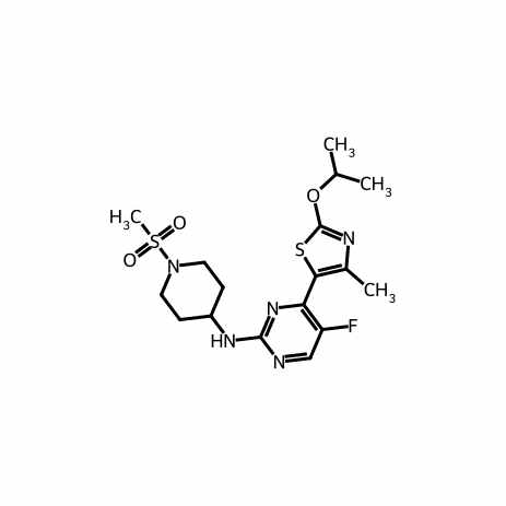 Cc1nc(OC(C)C)sc1-c1nc(NC2CCN(S(C)(=O)=O)CC2)ncc1F